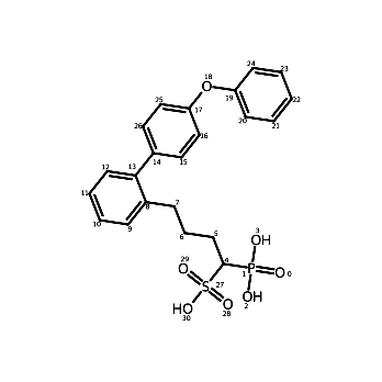 O=P(O)(O)C(CCCc1ccccc1-c1ccc(Oc2ccccc2)cc1)S(=O)(=O)O